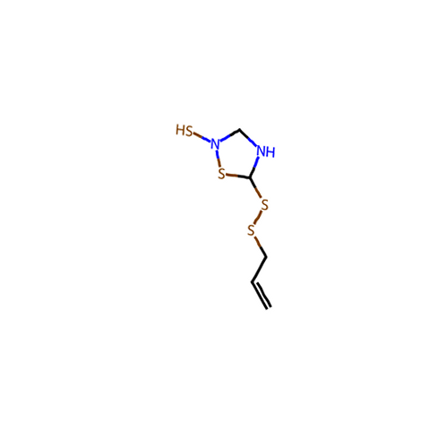 C=CCSSC1NCN(S)S1